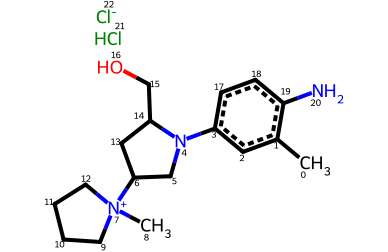 Cc1cc(N2CC([N+]3(C)CCCC3)CC2CO)ccc1N.Cl.[Cl-]